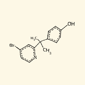 CC(C)(c1ccc(O)cc1)c1cc(Br)ccn1